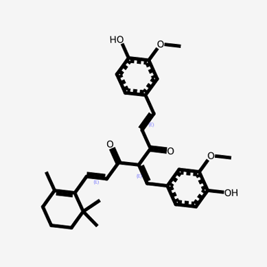 COc1cc(/C=C/C(=O)/C(=C\c2ccc(O)c(OC)c2)C(=O)/C=C/C2=C(C)CCCC2(C)C)ccc1O